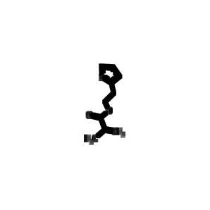 C=C(C)C(=O)OCCc1cccs1